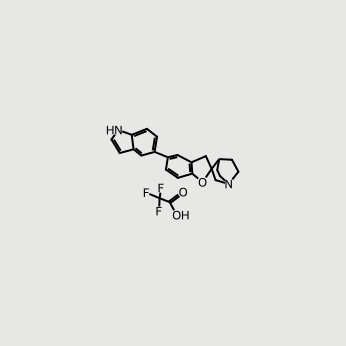 O=C(O)C(F)(F)F.c1cc2cc(-c3ccc4c(c3)CC3(CN5CCC3CC5)O4)ccc2[nH]1